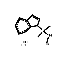 CC(C)(C)N[Si](C)(C)C1C=Cc2ccccc21.Cl.Cl.[Ti]